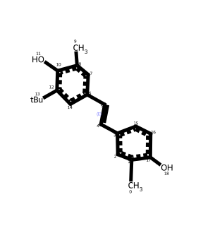 Cc1cc(/C=C/c2cc(C)c(O)c(C(C)(C)C)c2)ccc1O